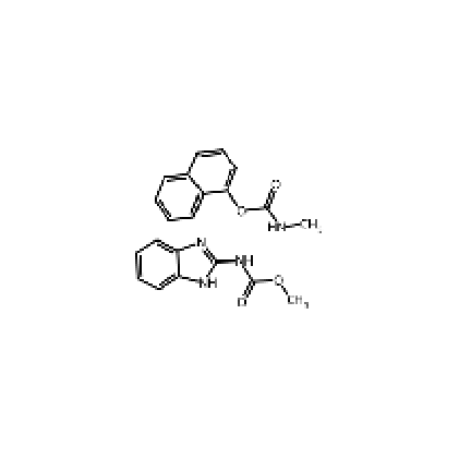 CNC(=O)Oc1cccc2ccccc12.COC(=O)Nc1nc2ccccc2[nH]1